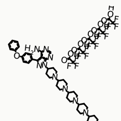 Nc1ncnc2c1c(-c1ccc(Oc3ccccc3)cc1)nn2C1CCN(C2CCN(C3CCN(C4CCN(C5CCNCC5)CC4)CC3)CC2)CC1.O=C(O)C(F)(F)F.O=C(O)C(F)(F)F.O=C(O)C(F)(F)F.O=C(O)C(F)(F)F.O=C(O)C(F)(F)F